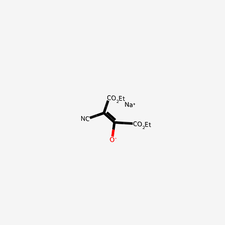 CCOC(=O)C([O-])=C(C#N)C(=O)OCC.[Na+]